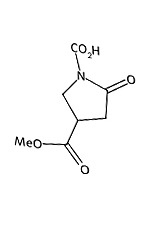 COC(=O)C1CC(=O)N(C(=O)O)C1